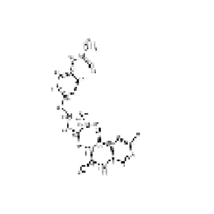 Cc1ccc2[nH]c(=O)n(CC3CN(Cc4ccc(CC(N)=O)cc4)NN3)c(=O)c2c1